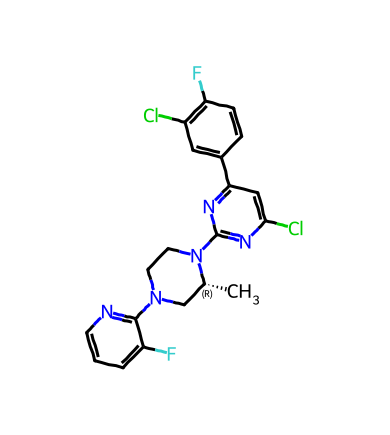 C[C@@H]1CN(c2ncccc2F)CCN1c1nc(Cl)cc(-c2ccc(F)c(Cl)c2)n1